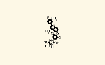 Cc1cc(-c2cc(C)c3cc(Oc4c(Cl)cc(N5N=C(C#N)C(O)NC5O)cc4Cl)ccc3n2)ccc1F